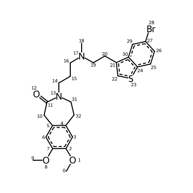 COc1cc2c(cc1OC)CC(=O)N(CCCN(C)CCc1csc3ccc(Br)cc13)CC2